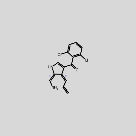 C=C/C=c1/c(C(=O)c2c(Cl)cccc2Cl)c[nH]/c1=C/N